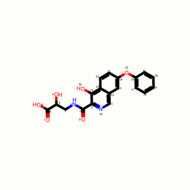 O=C(NCC(O)C(=O)O)c1ncc2cc(Oc3ccccc3)ccc2c1O